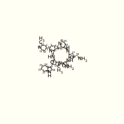 Cc1cc(-c2ccc3c(n2)CNC(=O)[C@H](CCc2c[nH]c4ccccc24)N(C)C(=O)[C@H](CN)NC(=O)[C@H](CCCN)NCc2cccnc2S3)ccn1